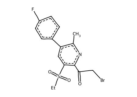 CCS(=O)(=O)c1cc(-c2ccc(F)cc2)c(C)nc1C(=O)CBr